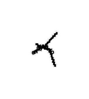 C=CCOP(=O)(OCCN=C=O)OC[C@@H](COCC[C@@H](C)OC(=O)CCCCCCCCCCC)NC(=O)CCCCCCCCCCCCC